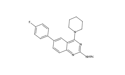 CC(=O)Nc1nc(N2CCCCC2)c2cc(-c3ccc(F)cc3)ccc2n1